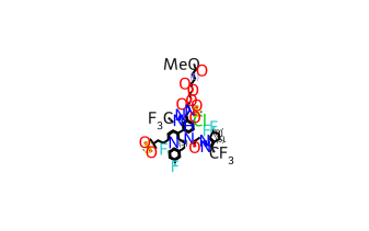 COC(=O)/C=C/C(=O)OCOC(=O)N(c1nn(CC(F)(F)F)c2c(-c3ccc(CCC(C)(C)S(C)(=O)=O)nc3[C@H](Cc3cc(F)cc(F)c3)NC(=O)Cn3nc(C(F)(F)F)c4c3C(F)(F)[C@H](C)[C@@H]4C)ccc(Cl)c12)S(C)(=O)=O